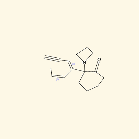 C#C/C=C(\C=C/C)C1(N2CCC2)CCCCC1=O